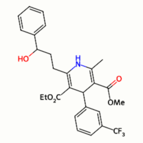 CCOC(=O)C1=C(CCC(O)c2ccccc2)NC(C)=C(C(=O)OC)C1c1cccc(C(F)(F)F)c1